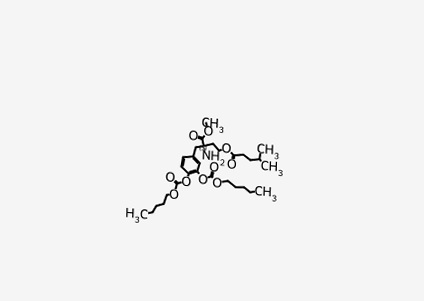 CCCCCOC(=O)Oc1ccc(C[C@](N)(CCOC(=O)CCC(C)C)C(=O)OC)cc1OC(=O)OCCCCC